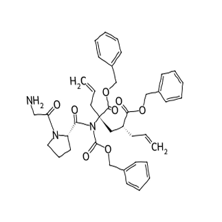 C=CC[C@H](C[C@@](CC=C)(C(=O)OCc1ccccc1)N(C(=O)OCc1ccccc1)C(=O)[C@@H]1CCCN1C(=O)CN)C(=O)OCc1ccccc1